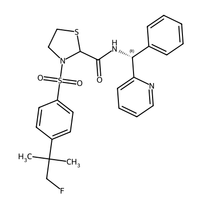 CC(C)(CF)c1ccc(S(=O)(=O)N2CCSC2C(=O)N[C@H](c2ccccc2)c2ccccn2)cc1